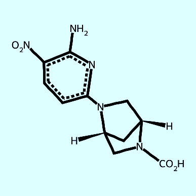 Nc1nc(N2C[C@H]3C[C@@H]2CN3C(=O)O)ccc1[N+](=O)[O-]